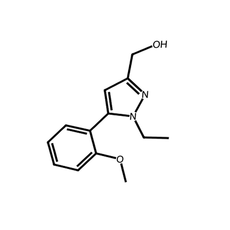 CCn1nc(CO)cc1-c1ccccc1OC